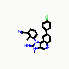 Cc1c(C#N)cccc1-n1c(=N)n(C)c2cnc3ccc(-c4ccc(Cl)cc4)cc3c21